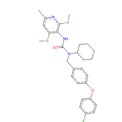 CSc1cc(C)nc(SC)c1NC(=O)N(Cc1ccc(Oc2ccc(F)cc2)cc1)C1CCCCC1